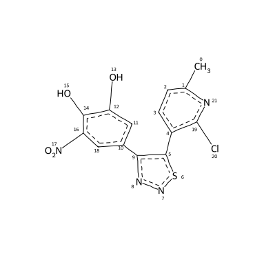 Cc1ccc(-c2snnc2-c2cc(O)c(O)c([N+](=O)[O-])c2)c(Cl)n1